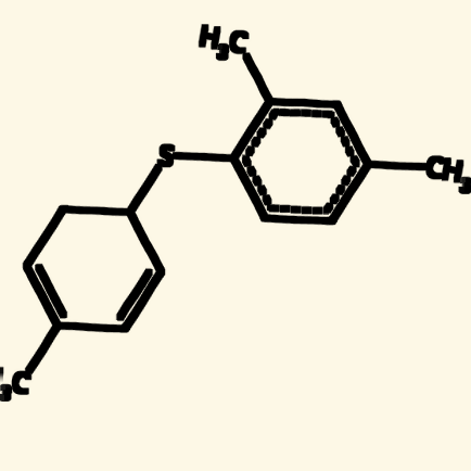 CC1=CCC(Sc2ccc(C)cc2C)C=C1